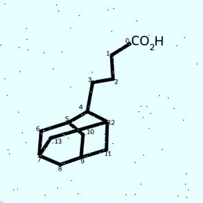 O=C(O)CCCC1C2CC3CC(C2)CC1C3